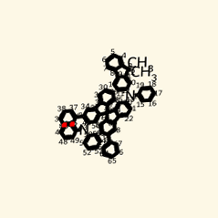 CC1(C)c2ccccc2-c2ccc(N(c3ccccc3)c3ccc4c(c3)C3(c5ccccc5-c5cc(-c6ccccc6)c(N(c6ccccc6)c6ccccc6)cc53)c3ccc(-c5ccccc5)cc3-4)cc21